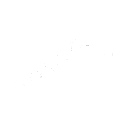 O=C(O)CCCc1nnc(-c2ccc(NC(=O)c3ccc(OC(F)(F)F)cc3)cc2)s1